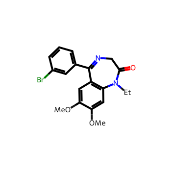 CCN1C(=O)CN=C(c2cccc(Br)c2)c2cc(OC)c(OC)cc21